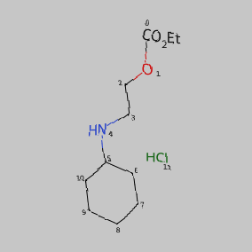 CCOC(=O)OCCNC1CCCCC1.Cl